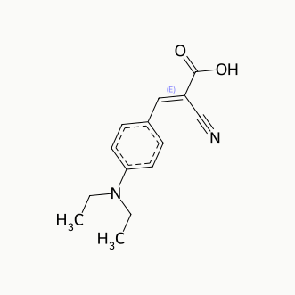 CCN(CC)c1ccc(/C=C(\C#N)C(=O)O)cc1